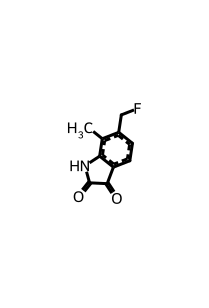 Cc1c(CF)ccc2c1NC(=O)C2=O